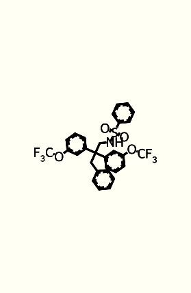 O=S(=O)(NCC(Cc1ccccc1)(c1cccc(OC(F)(F)F)c1)c1cccc(OC(F)(F)F)c1)c1ccccc1